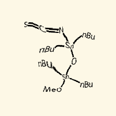 CCC[CH2][Sn]([CH2]CCC)([N]=C=S)[O][Sn]([CH2]CCC)([CH2]CCC)[O]C